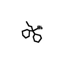 C.CCCC(O)(C1CCCCC1)C1CCCCC1